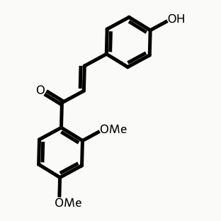 COc1ccc(C(=O)C=Cc2ccc(O)cc2)c(OC)c1